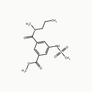 CCCN(C)C(=O)c1cc(NS(C)(=O)=O)cc(C(=O)OC)c1